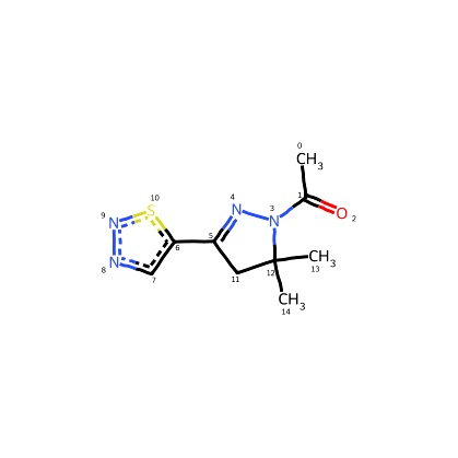 CC(=O)N1N=C(c2cnns2)CC1(C)C